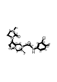 C[C@H]1Cn2ncc(N3CCN(C)C3=O)c2CN1C1OC1Nc1ccc(F)c(Cl)c1